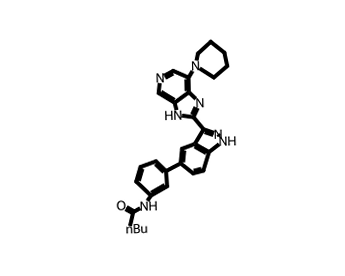 CCCCC(=O)Nc1cccc(-c2ccc3[nH]nc(-c4nc5c(N6CCCCC6)cncc5[nH]4)c3c2)c1